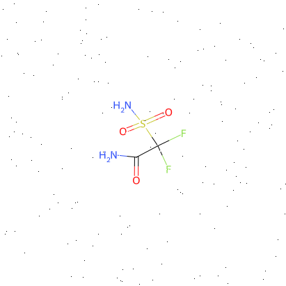 NC(=O)C(F)(F)S(N)(=O)=O